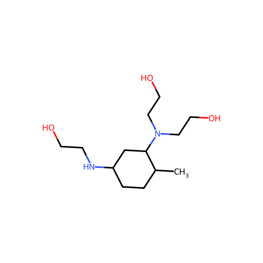 CC1CCC(NCCO)CC1N(CCO)CCO